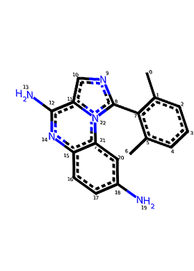 Cc1cccc(C)c1-c1ncc2c(N)nc3ccc(N)cc3n12